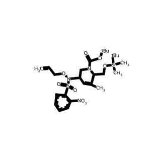 C=CCON(C1C=C(C)C(CO[Si](C)(C)C(C)(C)C)N(C(=O)OC(C)(C)C)C1)S(=O)(=O)c1ccccc1[N+](=O)[O-]